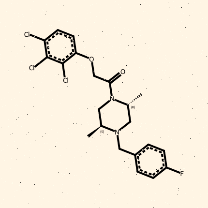 C[C@@H]1CN(Cc2ccc(F)cc2)[C@@H](C)CN1C(=O)COc1ccc(Cl)c(Cl)c1Cl